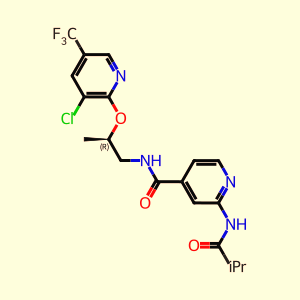 CC(C)C(=O)Nc1cc(C(=O)NC[C@@H](C)Oc2ncc(C(F)(F)F)cc2Cl)ccn1